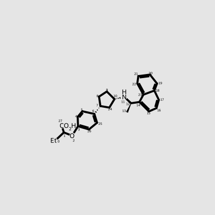 CCC(Oc1ccc([C@@H]2CC[C@H](N[C@H](C)c3cccc4ccccc34)C2)cc1)C(=O)O